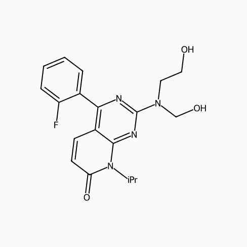 CC(C)n1c(=O)ccc2c(-c3ccccc3F)nc(N(CO)CCO)nc21